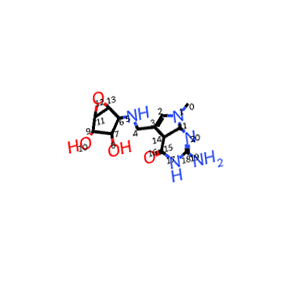 CN1C=C(CNC2C(O)C(O)C3OC23)C2C(=O)NC(N)=NC21